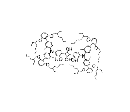 CCCCC(C)COc1cccc(OCC(CC)CCCC)c1-c1ccc(N(c2ccc(C3C(O)C(c4ccc(N(c5ccc(-c6c(OCC(CC)CCCC)cccc6OCC(CC)CCCC)cc5C)c5ccc(-c6c(OCC(CC)CCCC)cccc6OCC(CC)CCCC)cc5C)cc4O)C3O)c(O)c2)c2ccc(-c3c(OCC(CC)CCCC)cccc3OCC(CC)CCCC)cc2C)c(C)c1